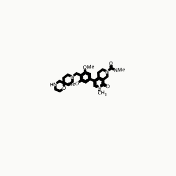 CNC(=O)N1CCc2c(-c3cc(OC)c(CN4CCC5(CC4)CNCCO5)c(OC)c3)cn(C)c(=O)c2C1